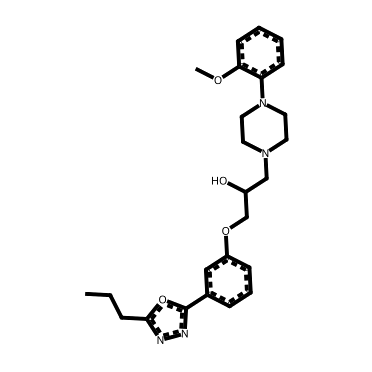 CCCc1nnc(-c2cccc(OCC(O)CN3CCN(c4ccccc4OC)CC3)c2)o1